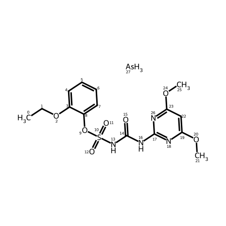 CCOc1ccccc1OS(=O)(=O)NC(=O)Nc1nc(OC)cc(OC)n1.[AsH3]